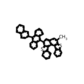 Cc1cc2cc(-c3c4ccccc4c(-c4ccc5ccccc5c4)c4ccccc34)c3sc4ccccc4c3c2c2c1sc1ccccc12